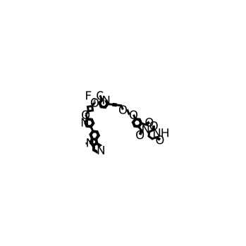 Cn1c2ccncc2c2ccc(-c3ccc(OC4CC(Oc5ccc(C#CCOCCOc6ccc7c(c6)C(=O)N(C6CCC(=O)NC6=O)C7=O)nc5C(F)(F)F)C4)nc3)cc21